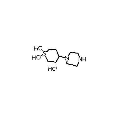 Cl.OS1(O)CCC(N2CCNCC2)CC1